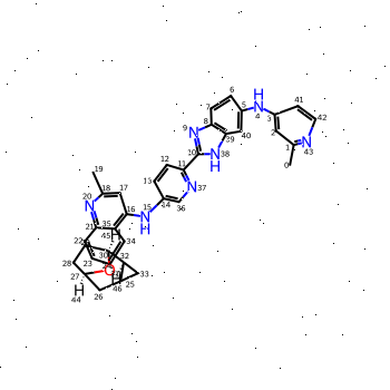 Cc1cc(Nc2ccc3nc(-c4ccc(Nc5cc(C)nc6ccc([C@]78C[C@H]9CC[C@H](O9)[C@H]7C8)cc56)cn4)[nH]c3c2)ccn1